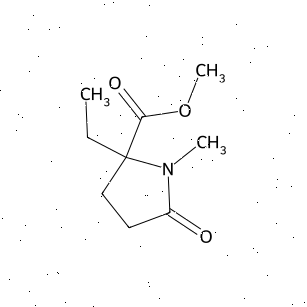 CCC1(C(=O)OC)CCC(=O)N1C